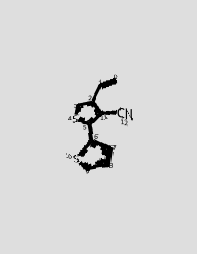 C=Cc1csc(-c2cccs2)c1C#N